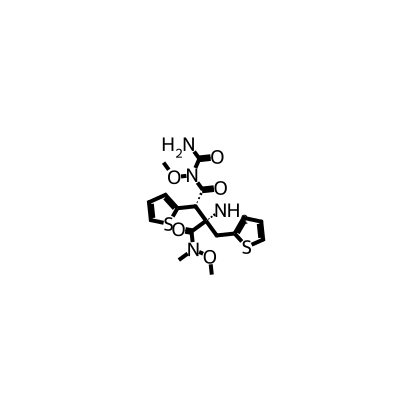 CON(C)C(=O)[C@](N)(Cc1cccs1)[C@@H](C(=O)N(OC)C(N)=O)c1cccs1